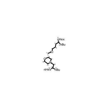 CCCCCCC(CCCC)CCCOC[C@@H]1CN(CC(CCCC)CCCCCC)CCO1